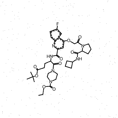 CCOC(=O)N1CCN(C(=O)C(CCC(=O)OC(C)(C)C)NC(=O)c2cc(OCC(=O)N3CCCC3C(=O)NC3CCC3)c3cc(F)ccc3n2)CC1